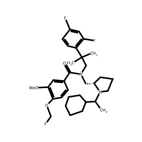 COc1cc(C(=O)N(C[C@@H]2CCCN2C(C)C2CCCCC2)CC(C)(C)c2ccc(F)cc2F)ccc1OCF